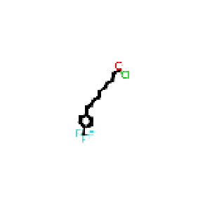 O=C(Cl)CCCCCCCC=Cc1ccc(C(F)(F)F)cc1